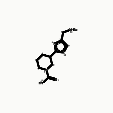 CCCC(=O)N1CCCC(c2nc(CNC(C)=O)cs2)C1